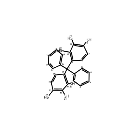 Sc1ccc(C(c2ccccc2)(c2ccccc2)c2ccc(S)c(S)c2S)c(S)c1S